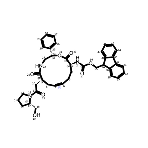 O=C(N[C@H]1CC/C=C\C[C@H](CC(=O)N2CCC[C@H]2CO)C(=O)NC[C@H](c2ccccc2)OC1=O)OCC1c2ccccc2-c2ccccc21